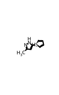 Cc1cc([SH]2C=CC=C2)[nH]n1